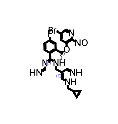 C[C@@H](Oc1cc(Br)cnc1N=O)c1cc(F)ccc1/C(=N/C=N)NC/C(C=N)=C/NCC1CC1